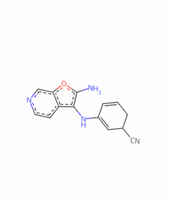 N#CC1C=C(Nc2c(N)oc3cnccc23)C=CC1